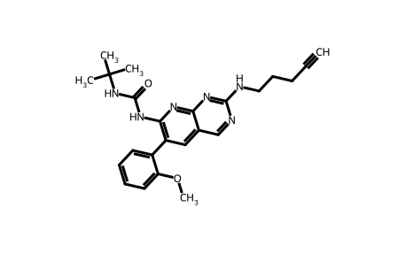 C#CCCCNc1ncc2cc(-c3ccccc3OC)c(NC(=O)NC(C)(C)C)nc2n1